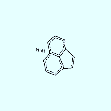 C1=Cc2cccc3cccc1c23.[NaH]